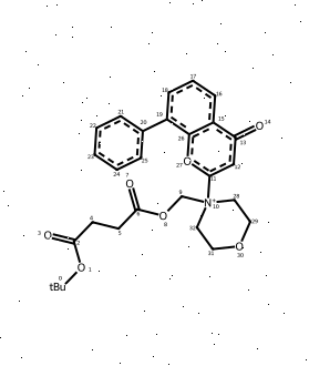 CC(C)(C)OC(=O)CCC(=O)OC[N+]1(c2cc(=O)c3cccc(-c4ccccc4)c3o2)CCOCC1